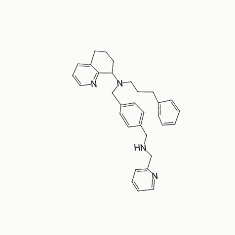 c1ccc(CCCN(Cc2ccc(CNCc3ccccn3)cc2)C2CCCc3cccnc32)cc1